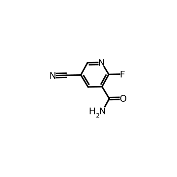 N#Cc1cnc(F)c(C(N)=O)c1